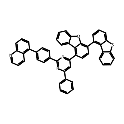 c1ccc(-c2cc(-c3ccc(-c4cccc5sc6ccccc6c45)c4oc5ccccc5c34)nc(-c3ccc(-c4cccc5ncccc45)cc3)n2)cc1